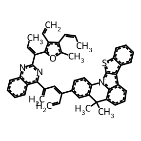 C=C/C(=C\C(=C)c1nc(/C(=C/C)c2oc(C)c(/C=C\C)c2C=C)nc2ccccc12)c1ccc2c(c1)C(C)(C)c1cccc3c4c5ccccc5sc4n-2c13